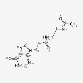 CC(=O)NCCNC(=O)CCn1cnc2c(=O)[nH]cnc21